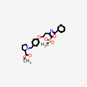 COC(=O)C1CCCN1Cc1ccc(OCCc2nc(-c3ccccc3)oc2S(C)(=O)=O)cc1